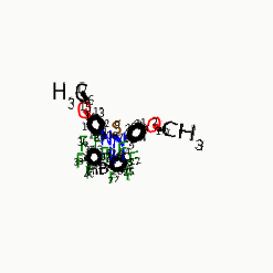 CCOc1ccc(NC(=S)Nc2ccc(OCC)cc2)cc1.Fc1c(F)c(F)c(Bc2c(F)c(F)c(F)c(F)c2F)c(F)c1F